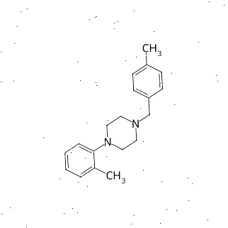 Cc1ccc(CN2CCN(c3ccccc3C)CC2)cc1